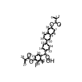 C=C(C)C(=O)Oc1ccc2cc(-c3ccc(C(OO)c4ccc(OC(=O)C(=C)C)c(F)c4F)cc3)ccc2c1